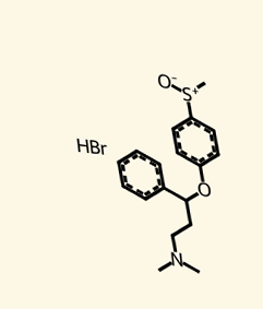 Br.CN(C)CCC(Oc1ccc([S+](C)[O-])cc1)c1ccccc1